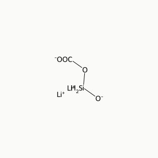 O=C([O-])O[SiH2][O-].[Li+].[Li+]